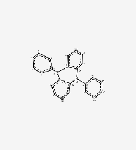 [c]1ccccc1N1c2ccccc2N(c2ccccc2)c2ccccc21